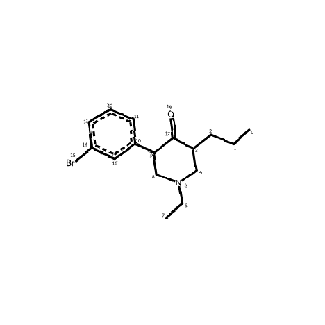 CCCC1CN(CC)CC(c2cccc(Br)c2)C1=O